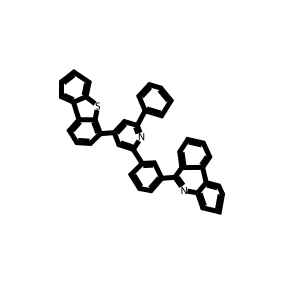 c1ccc(-c2cc(-c3cccc4c3sc3ccccc34)cc(-c3cccc(-c4nc5ccccc5c5ccccc45)c3)n2)cc1